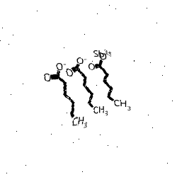 CCCCCC(=O)[O-].CCCCCC(=O)[O-].CCCCCC(=O)[O-].[Sb+3]